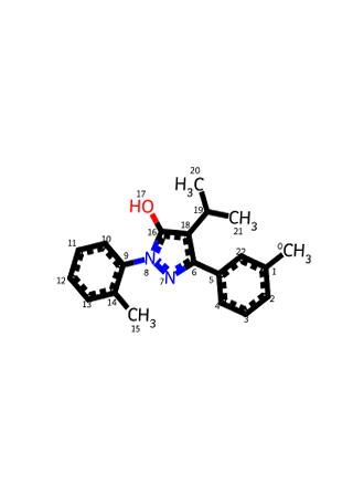 Cc1cccc(-c2nn(-c3ccccc3C)c(O)c2C(C)C)c1